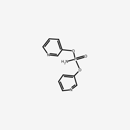 NP(=O)(Oc1cccnc1)Oc1cccnc1